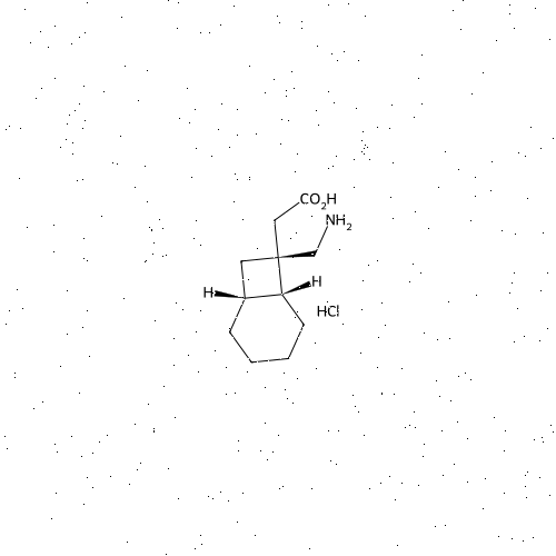 Cl.NC[C@]1(CC(=O)O)C[C@H]2CCCC[C@H]21